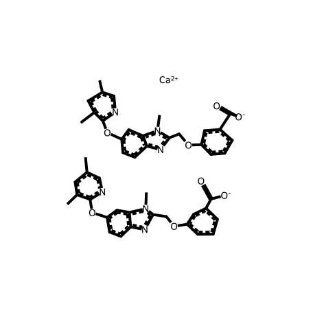 Cc1cnc(Oc2ccc3nc(COc4cccc(C(=O)[O-])c4)n(C)c3c2)c(C)c1.Cc1cnc(Oc2ccc3nc(COc4cccc(C(=O)[O-])c4)n(C)c3c2)c(C)c1.[Ca+2]